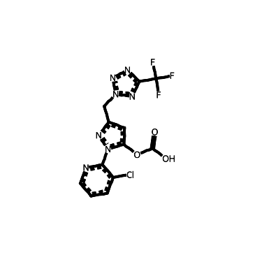 O=C(O)Oc1cc(Cn2nnc(C(F)(F)F)n2)nn1-c1ncccc1Cl